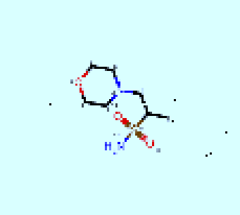 CC(CN1CCOCC1)S(N)(=O)=O